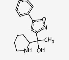 CC(O)(c1cc(-c2ccccc2)on1)C1CCCCN1